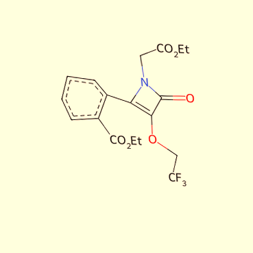 CCOC(=O)CN1C(=O)C(OCC(F)(F)F)=C1c1ccccc1C(=O)OCC